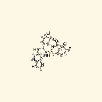 CC[C@H](Nc1ncnc2[nH]cnc12)c1cc2ccc(F)c(Cl)c2c(=O)n1-c1cccc(Cl)c1Cl